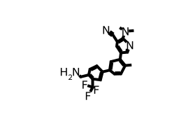 Cc1ccc(-c2ccc(CN)c(C(F)(F)F)c2)cc1-c1cnc(N(C)C)c(C#N)c1